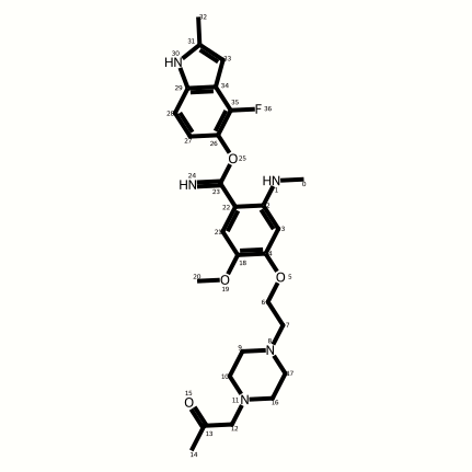 CNc1cc(OCCN2CCN(CC(C)=O)CC2)c(OC)cc1C(=N)Oc1ccc2[nH]c(C)cc2c1F